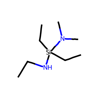 CCN[Si](CC)(CC)N(C)C